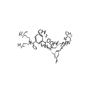 CCCN(CCC)C(=O)c1cc(C)cc(C(=O)N[C@@H](Cc2cc(F)cc(F)c2)[C@@H](O)CCNc2nccc(C)n2)c1